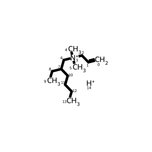 C=CC[N+](C)(C)CC(CC)CCCC.[H+]